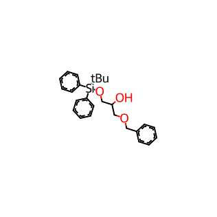 CC(C)(C)[Si](OCC(O)COCc1ccccc1)(c1ccccc1)c1ccccc1